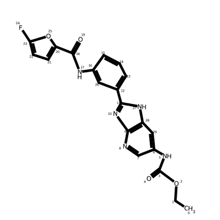 CCOC(=O)Nc1cnc2nc(-c3cccc(NC(=O)c4ccc(F)o4)c3)[nH]c2c1